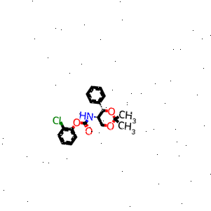 CC1(C)OC[C@H](NC(=O)Oc2ccccc2Cl)[C@H](c2ccccc2)O1